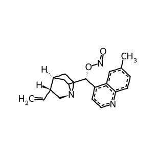 C=C[C@H]1C[N@]2CC[C@H]1CC2[C@H](ON=O)c1ccnc2ccc(C)cc12